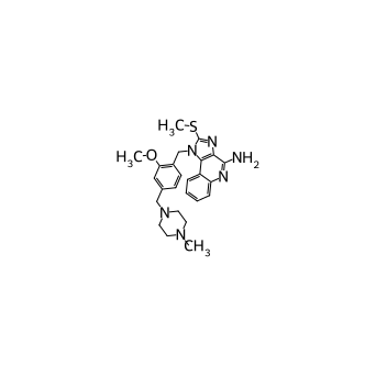 COc1cc(CN2CCN(C)CC2)ccc1Cn1c(SC)nc2c(N)nc3ccccc3c21